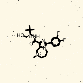 CN1CCCn2c(-c3ccc(F)c(F)c3)nc(C(=O)N[C@@H](CO)C(C)(C)C)c2C1